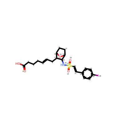 O=C(O)CCC/C=C/CC1C2CCC(O2)C1NS(=O)(=O)/C=C/c1ccc(I)cc1